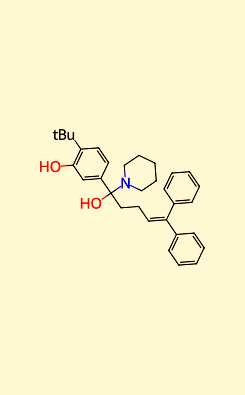 CC(C)(C)c1ccc(C(O)(CCC=C(c2ccccc2)c2ccccc2)N2CCCCC2)cc1O